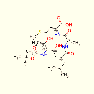 CSCC[C@H](NC(=O)[C@H](C)NC(=O)[C@H](CC(C)C)C[C@@H](O)[C@@H](NC(=O)OC(C)(C)C)[C@@H](C)O)C(=O)O